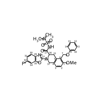 COc1ccc2c(c1COc1ccccc1)CC(C(=O)NS(=O)(=O)N(C)C)N(c1nc3ccc(F)cc3o1)C2